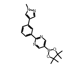 Cn1cc(-c2cccc(-c3ncc(B4OC(C)(C)C(C)(C)O4)cn3)c2)cn1